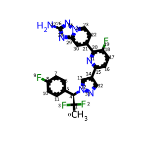 CC(F)(F)[C@@H](c1ccc(F)cc1)n1cc(-c2ccc(F)c(-c3ccn4nc(N)nc4c3)n2)cn1